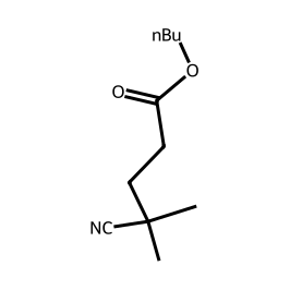 CCCCOC(=O)CCC(C)(C)C#N